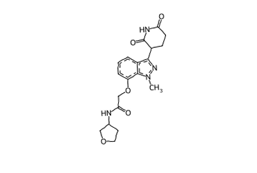 Cn1nc(C2CCC(=O)NC2=O)c2cccc(OCC(=O)NC3CCOC3)c21